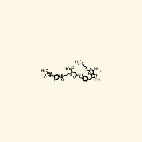 COCCOc1nc(N)c2nc(O)n(Cc3ccc(CNC(=O)CC(SCCNC(=O)c4ccc(NN=C(C)C)nc4)C(=O)O)cc3)c2n1